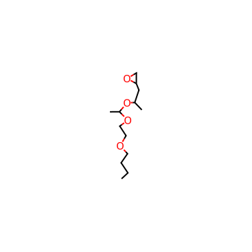 CCCCOCCOC(C)OC(C)CC1CO1